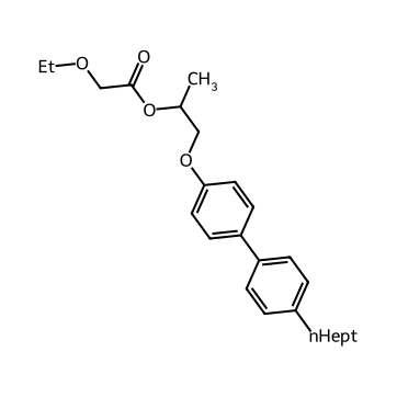 CCCCCCCc1ccc(-c2ccc(OCC(C)OC(=O)COCC)cc2)cc1